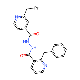 CC(C)Cc1cc(C(=O)NNC(=O)c2cccnc2Cc2ccccc2)ccn1